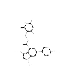 Cc1ncc(-c2cc(C(=O)NCc3c(C)cc(C)[nH]c3=O)c3c(C)cn(C(C)C)c3c2)cn1